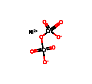 [Ni+2].[O]=[Cr](=[O])([O-])[O][Cr](=[O])(=[O])[O-]